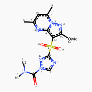 CCN(CC)C(=O)n1cnc(S(=O)(=O)c2c(OC)nn3c(C)cc(C)nc23)n1